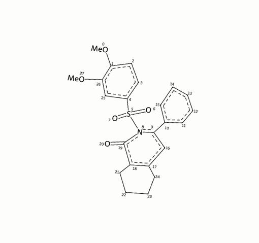 COc1ccc(S(=O)(=O)n2c(-c3ccccc3)cc3c(c2=O)CCCC3)cc1OC